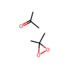 CC(C)=O.CC1(C)OO1